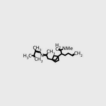 C=CCCC(C(=C)NC)C12CCC(C/C(C)=N/C=C(/C)C(=C)C)(C1)C2